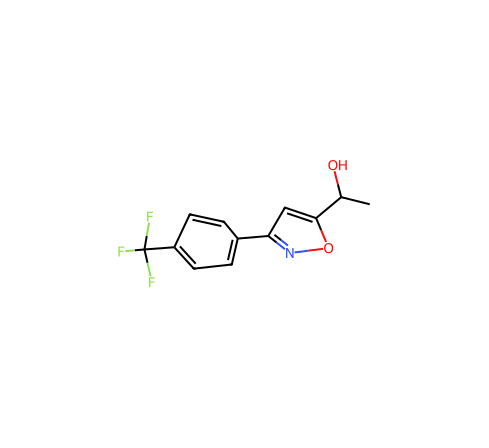 CC(O)c1cc(-c2ccc(C(F)(F)F)cc2)no1